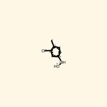 Cc1ccc(BO)cc1Cl